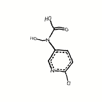 O=C(O)N(O)c1ccc(Cl)nc1